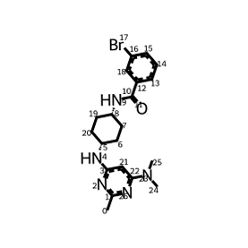 Cc1nc(N[C@H]2CC[C@@H](NC(=O)c3cccc(Br)c3)CC2)cc(N(C)C)n1